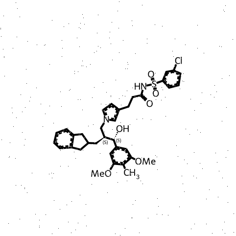 COc1cc([C@@H](O)[C@@H](CC2Cc3ccccc3C2)Cn2ccc(CCC(=O)NS(=O)(=O)c3cccc(Cl)c3)c2)cc(OC)c1C